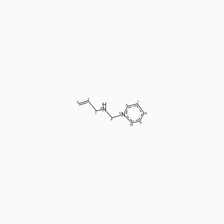 C=CCNC[n+]1ccccc1